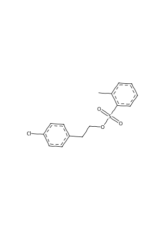 Cc1ccccc1S(=O)(=O)OCCc1ccc(Cl)cc1